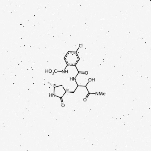 CNC(=O)C(O)C(C[C@@H]1C[C@@H](C)NC1=O)NC(=O)c1cc(Cl)ccc1NC(=O)O